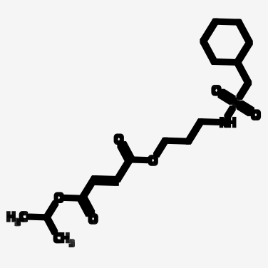 CC(C)OC(=O)/C=C/C(=O)OCCCNS(=O)(=O)CC1CCCCC1